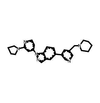 c1cc(-n2ncc3cc(-c4cncc(CN5CCCCC5)c4)ccc32)cc(N2CCCC2)n1